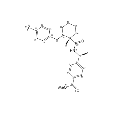 COC(=O)c1ccc([C@H](C)NC(=O)[C@@]2(C)CCCCN2Cc2ccc(C(F)(F)F)cc2)cc1